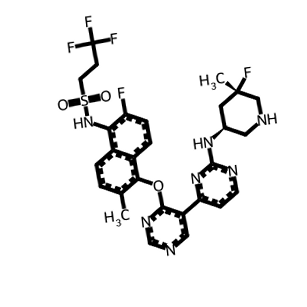 Cc1ccc2c(NS(=O)(=O)CCC(F)(F)F)c(F)ccc2c1Oc1ncncc1-c1ccnc(N[C@@H]2CNC[C@@](C)(F)C2)n1